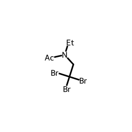 CCN(CC(Br)(Br)Br)C(C)=O